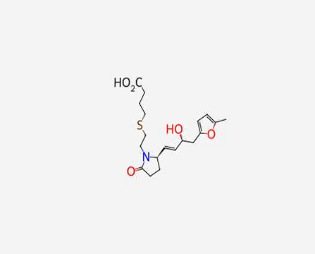 Cc1ccc(C[C@H](O)/C=C/[C@H]2CCC(=O)N2CCSCCCC(=O)O)o1